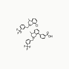 CC1CN(Cc2cccc(C(F)(F)F)c2)Cc2c(-c3cccc(C(=O)O)c3)cccc21.CC1CN(Cc2cccc(C(F)(F)F)c2)Cc2c(Cl)cccc21